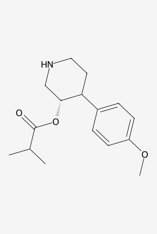 COc1ccc(C2CCNC[C@H]2OC(=O)C(C)C)cc1